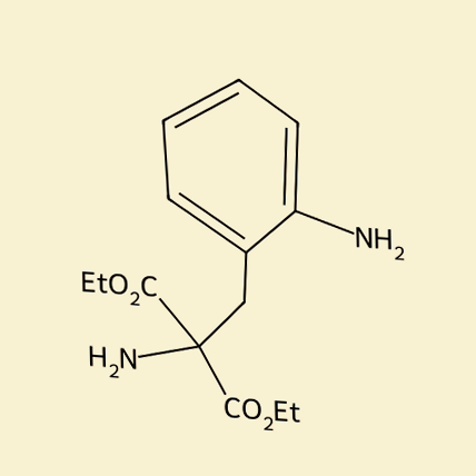 CCOC(=O)C(N)(Cc1ccccc1N)C(=O)OCC